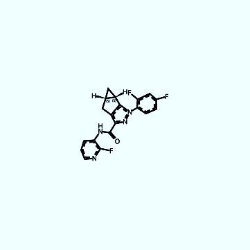 O=C(Nc1cccnc1F)c1nn(-c2ccc(F)cc2F)c2c1C[C@@H]1C[C@H]21